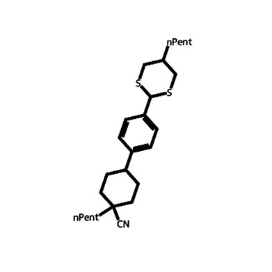 CCCCCC1CSC(c2ccc(C3CCC(C#N)(CCCCC)CC3)cc2)SC1